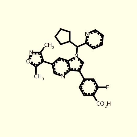 Cc1noc(C)c1-c1cnc2c(-c3ccc(C(=O)O)c(F)c3)cn(C(c3ccccn3)C3CCCC3)c2c1